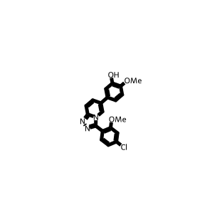 COc1ccc(-c2ccc3nnc(-c4ccc(Cl)cc4OC)n3c2)cc1O